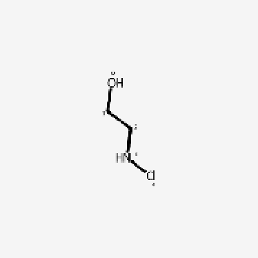 OCCNCl